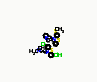 CN(C)CCCN1c2ccccc2Sc2ccc(Cl)cc21.CSc1ccc2c(c1)N(CCC1CCCCN1C)c1ccccc1S2.Cl